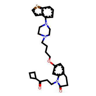 O=C(CCN1C(=O)CCc2ccc(OCCCCN3CCN(c4cccc5sccc45)CC3)cc21)C1CCC1